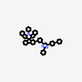 c1ccc(-c2ccc(-c3cc(-c4cccc(-c5ccc6c(c5)C5(c7ccccc7-6)c6ccc7ccccc7c6N(c6ccccc6)c6c5ccc5ccccc65)c4)nc(-c4ccccc4)n3)cc2)cc1